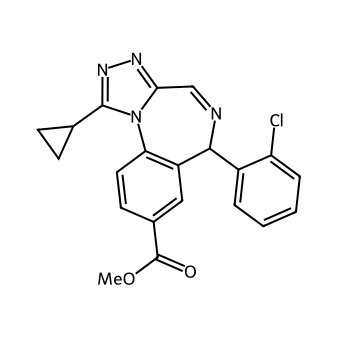 COC(=O)c1ccc2c(c1)C(c1ccccc1Cl)N=Cc1nnc(C3CC3)n1-2